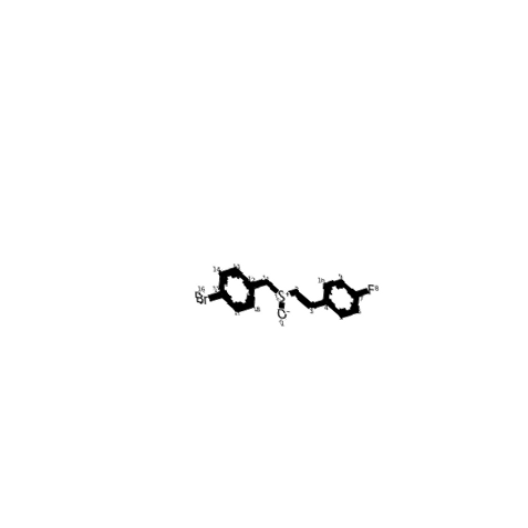 [O-][S+](C=Cc1ccc(F)cc1)Cc1ccc(Br)cc1